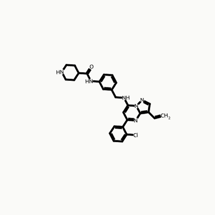 C=Cc1cnn2c(NCc3cccc(NC(=O)C4CCNCC4)c3)cc(-c3ccccc3Cl)nc12